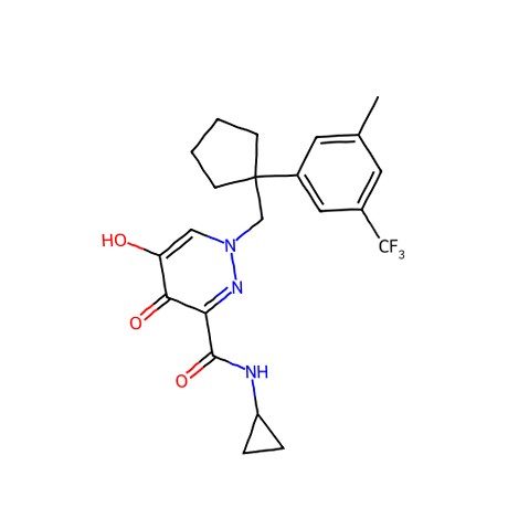 Cc1cc(C(F)(F)F)cc(C2(Cn3cc(O)c(=O)c(C(=O)NC4CC4)n3)CCCC2)c1